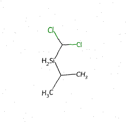 CC(C)[SiH2]C(Cl)Cl